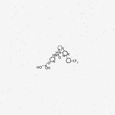 O=C(Nc1ccc(OC[C@H](O)CO)nc1)N1c2nc(-c3cccc(C(F)(F)F)c3)ncc2N2CCC[C@H]1C2